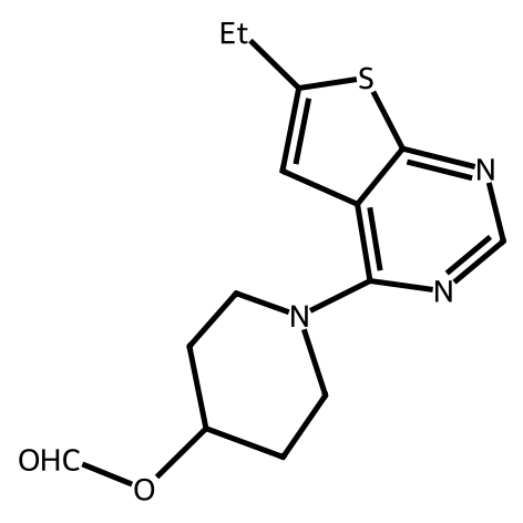 CCc1cc2c(N3CCC(OC=O)CC3)ncnc2s1